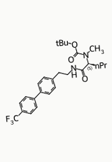 CCC[C@@H](C(=O)NCCc1ccc(-c2ccc(C(F)(F)F)cc2)cc1)N(C)C(=O)OC(C)(C)C